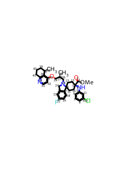 COC(=O)C1(Nc2cccc(Cl)c2)CCC2(CC1)c1ccc(F)cc1CN2C[C@@H](C)COc1ccnc2c1[C@H](C)CCC2